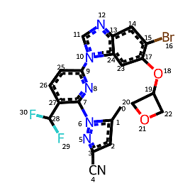 Cc1cc(C#N)nn1-c1nc(-n2cnc3cc(Br)c(OC4COC4)cc32)ccc1C(F)F